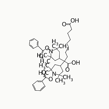 CC1(C)CC(C(CCCCCCCC(=O)O)(C(=O)O)C2CC(C)(C)N(OC(=O)c3ccccc3)C(C)(C)C2)CC(C)(C)N1OC(=O)c1ccccc1